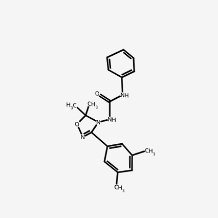 Cc1cc(C)cc(C2=NOC(C)(C)N2NC(=O)Nc2ccccc2)c1